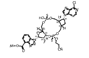 COC(=O)c1cccc2c1nnn2[C@@H]1O[C@@H]2COP(O)(=S)OC[C@@H]3[C@@H](COP(=S)(OCCC#N)O[C@H]2[C@H]1F)C[C@H]3n1cnc2c(Cl)ncnc21